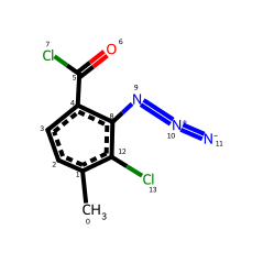 Cc1ccc(C(=O)Cl)c(N=[N+]=[N-])c1Cl